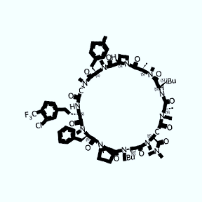 CC[C@H](C)[C@@H]1NC(=O)[C@H](C)N(C)C(=O)C[C@@H](C(=O)N(C)C)N(C)C(=O)[C@H]([C@@H](C)CC)N(C)C(=O)C2(CCCC2)NC(=O)[C@@H](Cc2ccccc2)N(C)C(=O)[C@H](CCc2ccc(C(F)(F)F)c(Cl)c2)NC(=O)CN(C)C(=O)[C@H](Cc2ccc(C)cc2)N(C)C(=O)[C@@H]2CCN2C(=O)[C@H](C)N(C)C1=O